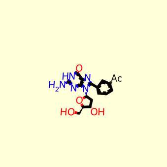 CC(=O)c1cccc(-c2nc3c(=O)[nH]c(N)nc3n2[C@H]2C[C@H](O)[C@@H](CO)O2)c1